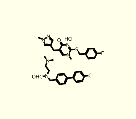 CN(C)CCN(C=O)Cc1ccc(-c2ccc(Cl)cc2)cc1.Cl.Cn1cc(Cc2cn(C)c(SCc3ccc(F)cc3)nc2=O)cn1